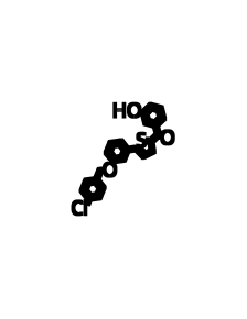 O=C(c1cccc(O)c1)C1CC=C(c2cccc(OCc3ccc(Cl)cc3)c2)S1